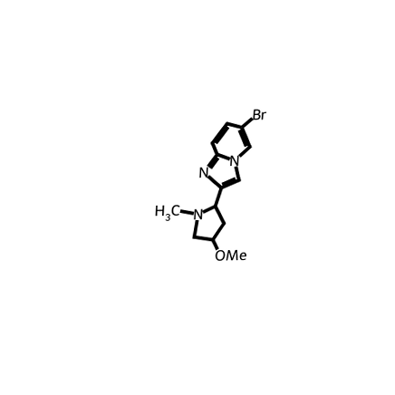 COC1CC(c2cn3cc(Br)ccc3n2)N(C)C1